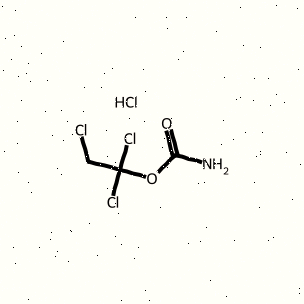 Cl.NC(=O)OC(Cl)(Cl)CCl